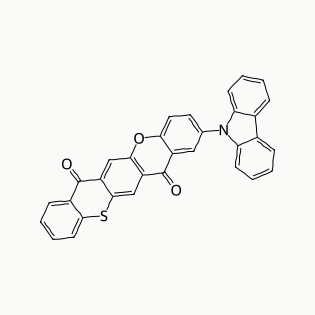 O=c1c2cc(-n3c4ccccc4c4ccccc43)ccc2oc2cc3c(=O)c4ccccc4sc3cc12